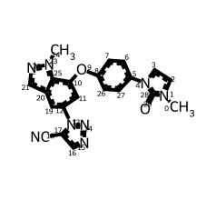 Cn1ccn(-c2ccc(Oc3cc(-n4nncc4C#N)cc4cnn(C)c34)cc2)c1=O